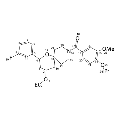 CCOC1CC(c2cccc(F)c2)OC2(CCN(C(=O)c3ccc(OC(C)C)c(OC)c3)CC2)C1